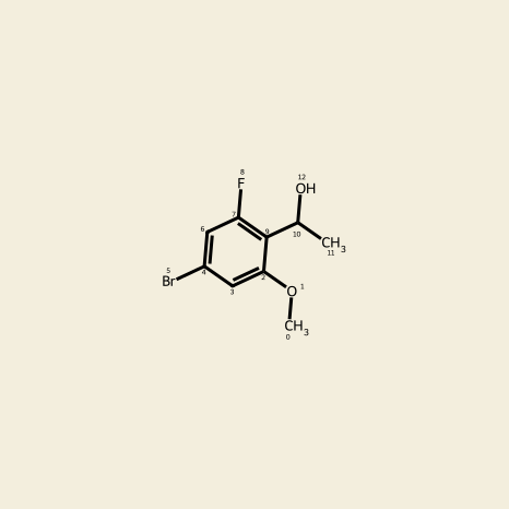 COc1cc(Br)cc(F)c1C(C)O